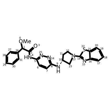 COC(C(=O)Nc1ccc(N[C@@H]2CCN(c3nc4ccccc4s3)C2)nn1)c1ccccc1